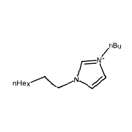 CCCCCCCCn1cc[n+](CCCC)c1